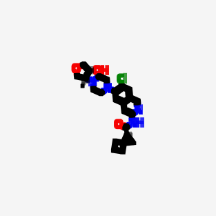 C[C@]1(N2CCN(c3cc4cc(NC(=O)[C@H]5CC56CCC6)ncc4cc3Cl)CC2)COC[C@H]1O